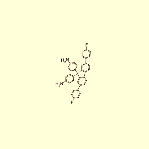 Nc1ccc(C2(c3ccc(N)cc3)c3cc(-c4ccc(F)cc4)ccc3-c3ccc(-c4ccc(F)cc4)cc32)cc1